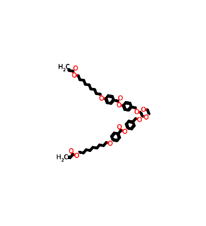 C=CC(=O)OCCCCCCCCCOc1ccc(C(=O)Oc2ccc(COC3OCCOC3OCc3ccc(OC(=O)c4ccc(OCCCCCCCCCOC(=O)C=C)cc4)cc3)cc2)cc1